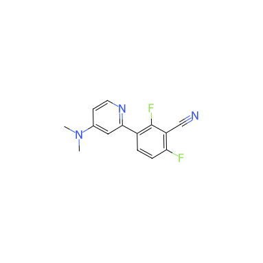 CN(C)c1ccnc(-c2ccc(F)c(C#N)c2F)c1